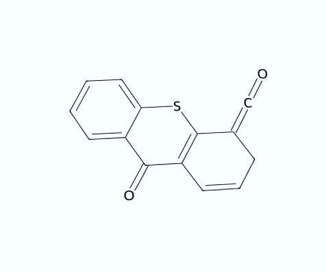 O=C=C1CC=Cc2c1sc1ccccc1c2=O